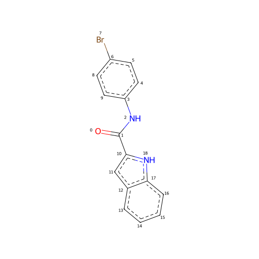 O=C(Nc1ccc(Br)cc1)c1cc2ccccc2[nH]1